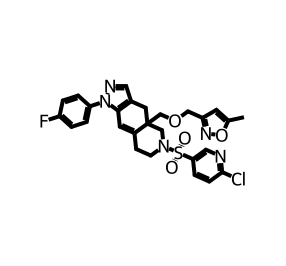 Cc1cc(COCC23Cc4cnn(-c5ccc(F)cc5)c4C=C2CCN(S(=O)(=O)c2ccc(Cl)nc2)C3)no1